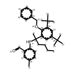 CCCCC(C)(Pc1ccc(C)cc1C=O)c1cc(C(C)(C)C)cc(C(C)(C)C)c1OCc1ccccc1